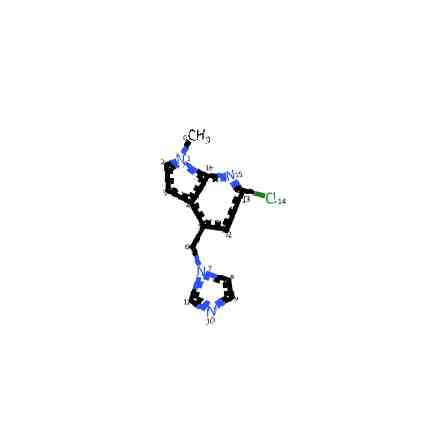 Cn1ccc2c(Cn3ccnc3)cc(Cl)nc21